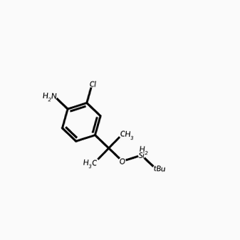 CC(C)(C)[SiH2]OC(C)(C)c1ccc(N)c(Cl)c1